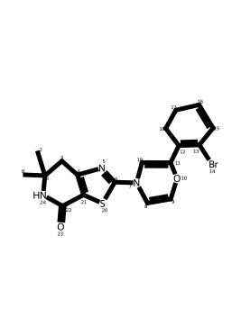 CC1(C)Cc2nc(N3C=COC(C4=C(Br)C=CCC4)=C3)sc2C(=O)N1